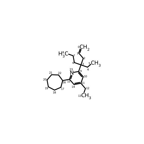 C=CCC(CC)(CCC)c1cc(CC)cc(C2CCCCCC2)n1